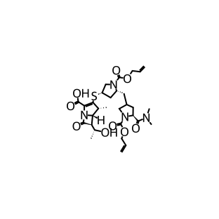 C=CCOC(=O)N1C[C@@H](SC2=C(C(=O)O)N3C(=O)[C@H]([C@@H](C)O)[C@H]3[C@H]2C)C[C@H]1CC1C[C@@H](C(=O)N(C)C)N(C(=O)OCC=C)C1